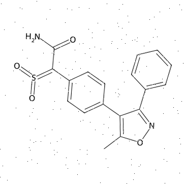 Cc1onc(-c2ccccc2)c1-c1ccc(C(C(N)=O)=S(=O)=O)cc1